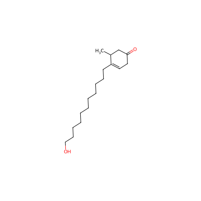 CC1CC(=O)CC=C1CCCCCCCCCCCO